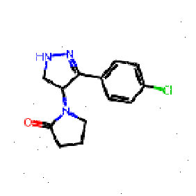 O=C1CCCN1C1CNN=C1c1ccc(Cl)cc1